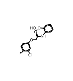 O=C(COc1ccc(F)c(Cl)c1)Nc1ccccc1C(=O)O